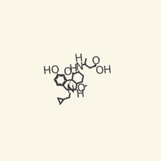 CO[C@@]12CC[C@@H](NC(C)CC(=O)O)[C@@H]3Oc4c(O)ccc5c4[C@@]31CCN(CC1CC1)[C@@H]2C5